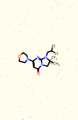 CCC(CC)CN1c2nc(N3CCOCC3)cc(=O)n2C[C@@]1(C)C(F)(F)F